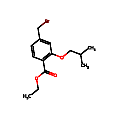 CCOC(=O)c1ccc(CBr)cc1OCC(C)C